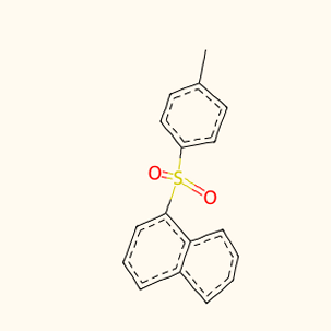 Cc1ccc(S(=O)(=O)c2cccc3ccccc23)cc1